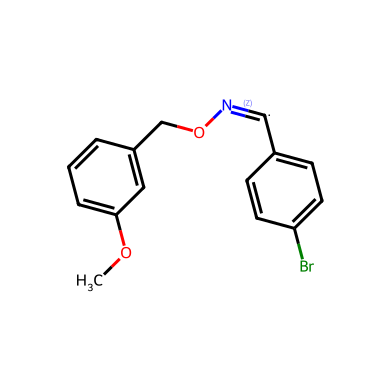 COc1cccc(CO/N=[C]\c2ccc(Br)cc2)c1